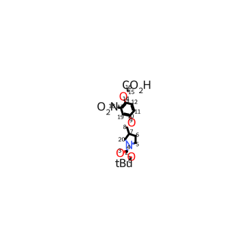 CC(C)(C)OC(=O)N1CCC(COc2ccc(OCC(=O)O)c([N+](=O)[O-])c2)C1